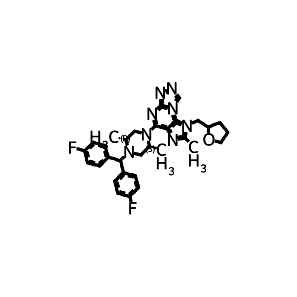 Cc1nc2c(N3C[C@@H](C)N(C(c4ccc(F)cc4)c4ccc(F)cc4)C[C@@H]3C)nc3nncn3c2n1CC1CCCO1